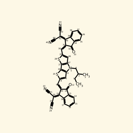 CCC(C)Cn1c2cc(/C=C3\C(=O)c4ccccc4C3=C(C#N)C#N)sc2c2sc(/C=C3\C(=O)c4ccccc4C3=C(C#N)C#N)cc21